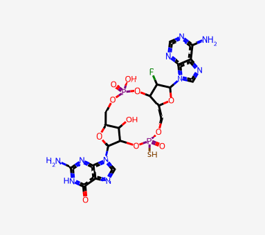 Nc1nc2c(ncn2C2OC3COP(=O)(O)OC4C(COP(=O)(S)OC2C3O)OC(n2cnc3c(N)ncnc32)C4F)c(=O)[nH]1